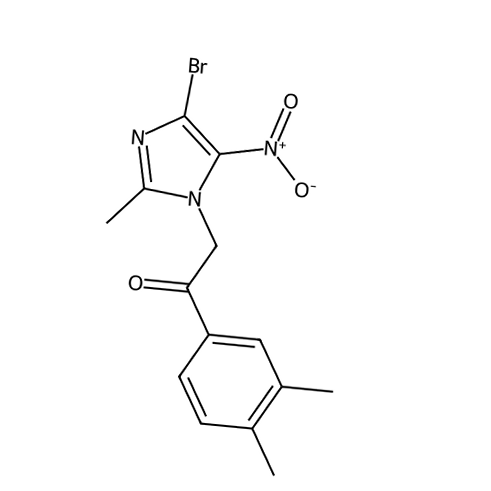 Cc1ccc(C(=O)Cn2c(C)nc(Br)c2[N+](=O)[O-])cc1C